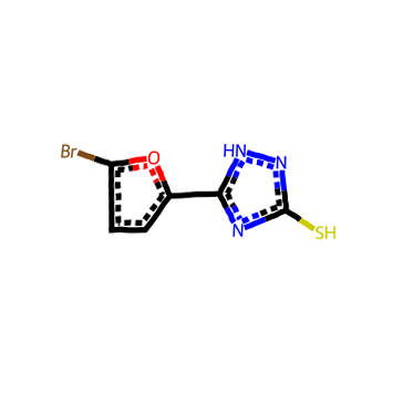 Sc1n[nH]c(-c2ccc(Br)o2)n1